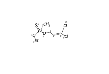 CCOP(C)(=S)OCC=C(Cl)Cl